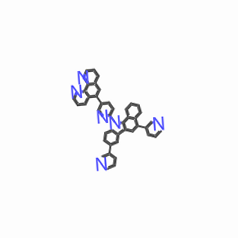 c1cncc(-c2ccc3c(c2)c2cc(-c4cccnc4)c4ccccc4c2n3-c2ccc(-c3cc4cccnc4c4ncccc34)cn2)c1